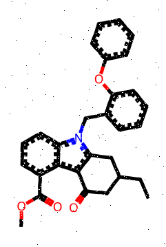 CCC1CC(=O)c2c(n(Cc3ccccc3Oc3ccccc3)c3cccc(C(=O)OC)c23)C1